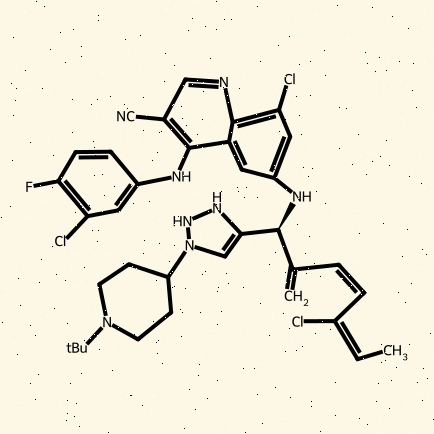 C=C(/C=C\C(Cl)=C/C)[C@H](Nc1cc(Cl)c2ncc(C#N)c(Nc3ccc(F)c(Cl)c3)c2c1)C1=CN(C2CCN(C(C)(C)C)CC2)NN1